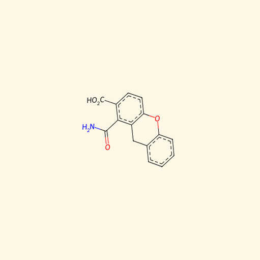 NC(=O)c1c(C(=O)O)ccc2c1Cc1ccccc1O2